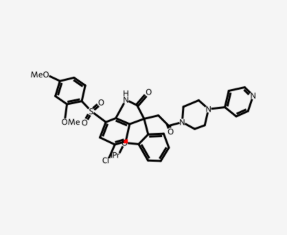 COc1ccc(S(=O)(=O)c2cc(Cl)cc3c2NC(=O)C3(CC(=O)N2CCN(c3ccncc3)CC2)c2ccccc2OC(C)C)c(OC)c1